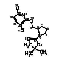 CC(C)(C)OC(=O)N1CCC[C@@H]1COc1nc(Cl)ccc1Cl